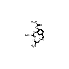 COC(=O)Oc1ccc(/C=N\OCC(N)=O)cc1OC(=O)OC